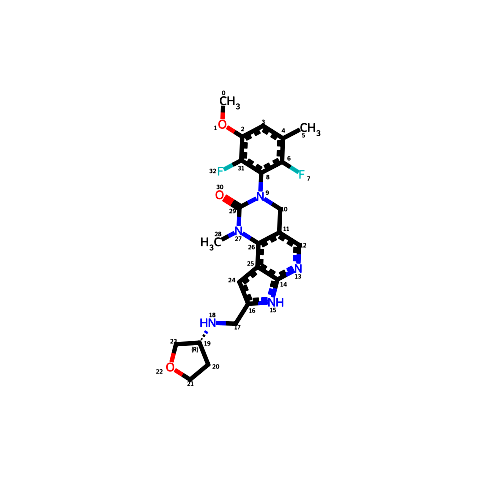 COc1cc(C)c(F)c(N2Cc3cnc4[nH]c(CN[C@@H]5CCOC5)cc4c3N(C)C2=O)c1F